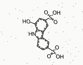 O=S(=O)(O)c1ccc2[nH]c3c(O)cc(S(=O)(=O)O)cc3c2c1